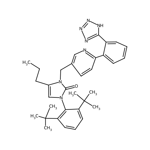 CCCc1cn(-c2c(C(C)(C)C)cccc2C(C)(C)C)c(=O)n1Cc1ccc(-c2ccccc2-c2nnn[nH]2)nc1